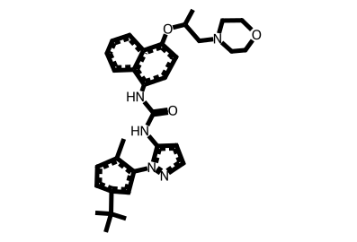 Cc1ccc(C(C)(C)C)cc1-n1nccc1NC(=O)Nc1ccc(OC(C)CN2CCOCC2)c2ccccc12